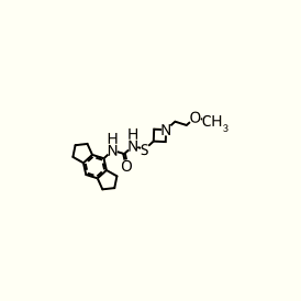 COCCN1CC(SNC(=O)Nc2c3c(cc4c2CCC4)CCC3)C1